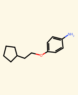 Nc1ccc(OCCC2CCCC2)cc1